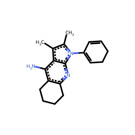 Cc1c(C)n(C2=CCCC=C2)c2nc3c(c(N)c12)CCCC3